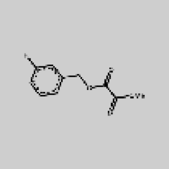 COC(=O)C(=O)OCc1cccc(F)c1